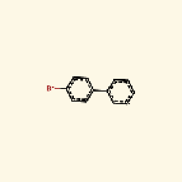 Brc1ccc(-c2c[c]ccc2)cc1